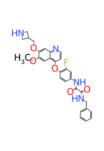 COc1cc2c(Oc3ccc(NC(=O)C(=O)NCc4ccccc4)cc3F)ccnc2cc1OCC1CNC1